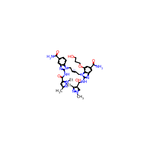 CCc1nn(C)cc1C(O)Nc1nc2cc(C(N)=O)cc(OCCCO)c2n1C/C=C/Cn1c(NC(=O)c2cc(C)nn2CC)nc2cc(C(N)=O)ccc21